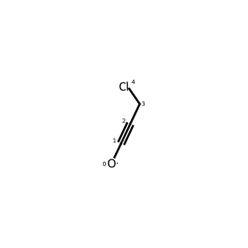 [O]C#CCCl